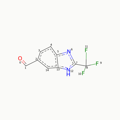 O=Cc1ccc2nc(C(F)(F)F)[nH]c2c1